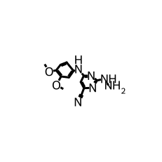 COc1ccc(Nc2cc(C#N)nc(NN)n2)cc1OC